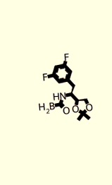 BC(=O)N[C@@H](Cc1cc(F)cc(F)c1)[C@H]1COC(C)(C)O1